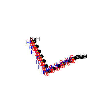 O=C1NS(=O)(=O)c2ccccc21.O=C1NS(=O)(=O)c2ccccc21.O=C1NS(=O)(=O)c2ccccc21.O=C1NS(=O)(=O)c2ccccc21.O=C1NS(=O)(=O)c2ccccc21.O=C1NS(=O)(=O)c2ccccc21.O=C1NS(=O)(=O)c2ccccc21.O=C1NS(=O)(=O)c2ccccc21.O=C1NS(=O)(=O)c2ccccc21.O=C1NS(=O)(=O)c2ccccc21.O=C1NS(=O)(=O)c2ccccc21.O=C1NS(=O)(=O)c2ccccc21.[NaH].[NaH].[NaH].[NaH].[NaH]